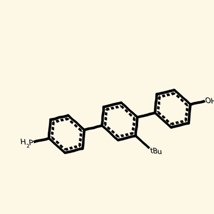 CC(C)(C)c1cc(-c2ccc(P)cc2)ccc1-c1ccc(O)cc1